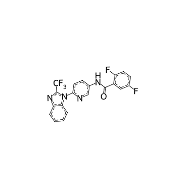 O=C(Nc1ccc(-n2c(C(F)(F)F)nc3ccccc32)nc1)c1cc(F)ccc1F